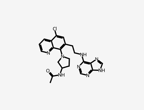 CC(=O)NC1CCN(c2c(CCNc3ncnc4[nH]cnc34)cc(Cl)c3cccnc23)C1